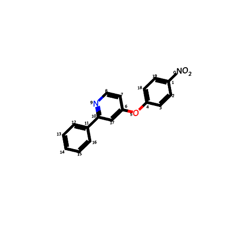 O=[N+]([O-])c1ccc(Oc2ccnc(-c3ccccc3)c2)cc1